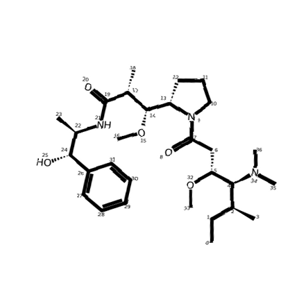 CC[C@H](C)[C@@H]([C@@H](CC(=O)N1CCC[C@H]1[C@H](OC)[C@@H](C)C(=O)N[C@H](C)[C@@H](O)c1ccccc1)OC)N(C)C